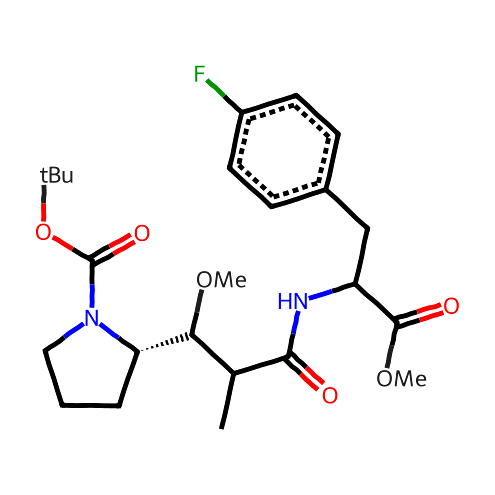 COC(=O)C(Cc1ccc(F)cc1)NC(=O)C(C)C(OC)[C@@H]1CCCN1C(=O)OC(C)(C)C